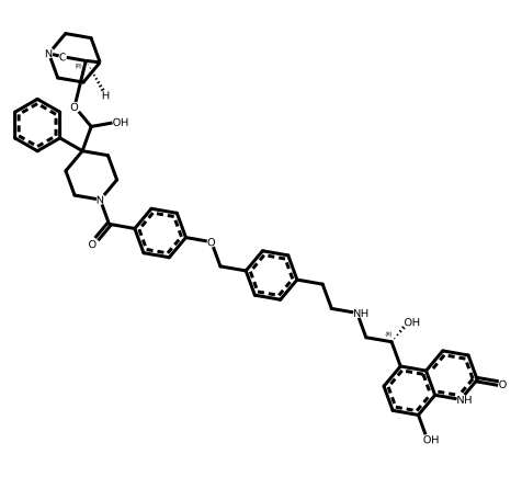 O=C(c1ccc(OCc2ccc(CCNC[C@H](O)c3ccc(O)c4[nH]c(=O)ccc34)cc2)cc1)N1CCC(c2ccccc2)(C(O)O[C@H]2CN3CCC2CC3)CC1